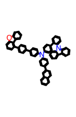 c1ccc(-n2c3ccccc3c3ccccc32)c(-c2ccc(N(c3ccc(-c4ccc(-c5cccc6oc7ccccc7c56)cc4)cc3)c3ccc(-c4ccc5ccccc5c4)cc3)cc2)c1